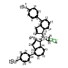 CC1=Cc2c(-c3ccc(C(C)(C)C)cc3)cccc2[CH]1[Zr+2]1([CH]2C(C(C)C)=Cc3c(-c4ccc(C(C)(C)C)cc4)cccc32)[CH2][CH2]1.[Cl-].[Cl-]